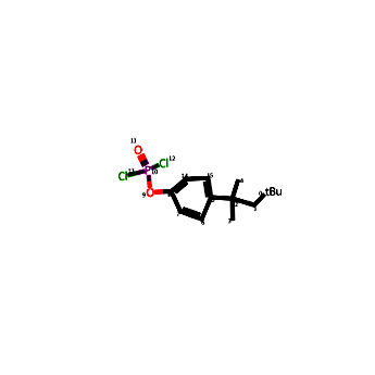 CC(C)(C)CC(C)(C)c1ccc(OP(=O)(Cl)Cl)cc1